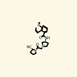 C=Nc1cccc(C(=O)N[C@H]2CCN(CC(=O)N3CCC[C@H]3C#N)C2)c1/C=C\C